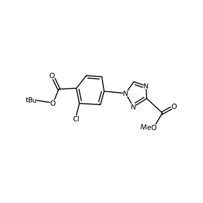 COC(=O)c1ncn(-c2ccc(C(=O)OC(C)(C)C)c(Cl)c2)n1